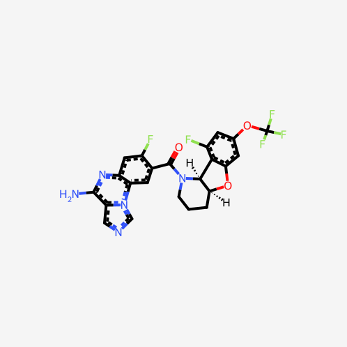 Nc1nc2cc(F)c(C(=O)N3CCC[C@@H]4Oc5cc(OC(F)(F)F)cc(F)c5[C@@H]43)cc2n2cncc12